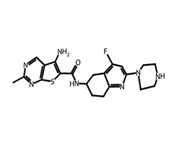 Cc1ncc2c(N)c(C(=O)NC3CCc4nc(N5CCNCC5)cc(F)c4C3)sc2n1